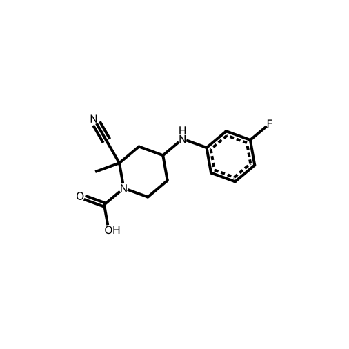 CC1(C#N)CC(Nc2cccc(F)c2)CCN1C(=O)O